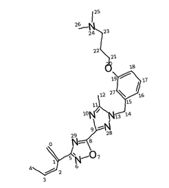 C=C(/C=C\C)c1noc(-c2nc(C)n(Cc3cccc(OCCCN(C)C)c3)n2)n1